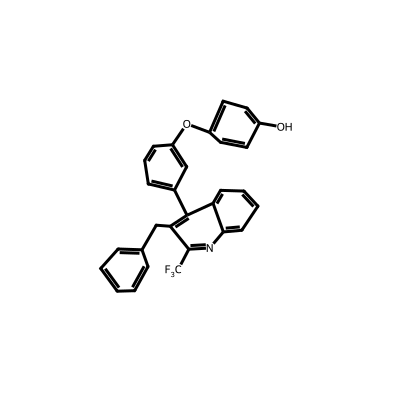 Oc1ccc(Oc2cccc(-c3c(Cc4ccccc4)c(C(F)(F)F)nc4ccccc34)c2)cc1